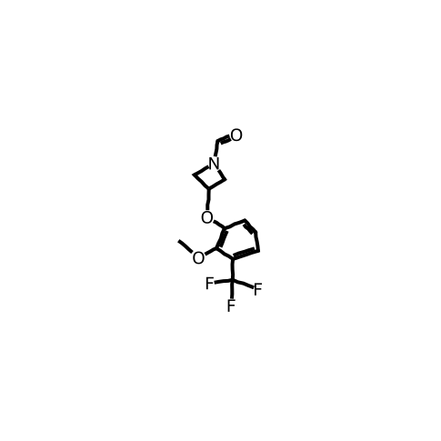 COc1c(OC2CN(C=O)C2)cccc1C(F)(F)F